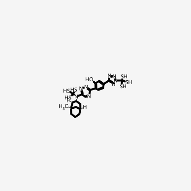 C[C@]12CCC[C@H](C[C@@H](N(c3cnc(-c4ccc(-c5nnn(C(S)(S)S)n5)cc4O)nn3)C(S)(S)S)[C@H]1F)C2